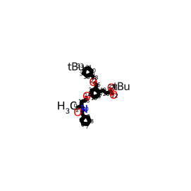 Cc1oc(-c2ccccc2)nc1CCOc1ccc(CCC(=O)OC(C)(C)C)c(COCc2ccc(C(C)(C)C)cc2)c1